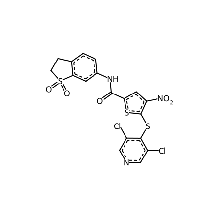 O=C(Nc1ccc2c(c1)S(=O)(=O)CC2)c1cc([N+](=O)[O-])c(Sc2c(Cl)cncc2Cl)s1